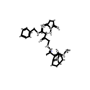 C/C(=N\OCC(=O)[C@@H](ON1C(=O)CCC1=O)C(=O)OCc1ccccc1)C1=CCCC2CCC1N2C(=O)OC(C)(C)C